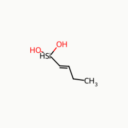 CCC=C[SiH](O)O